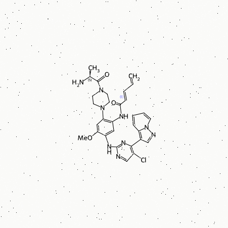 C=C/C=C/C(=O)Nc1cc(Nc2ncc(Cl)c(-c3cnn4ccccc34)n2)c(OC)cc1N1CCN(C(=O)[C@H](C)N)CC1